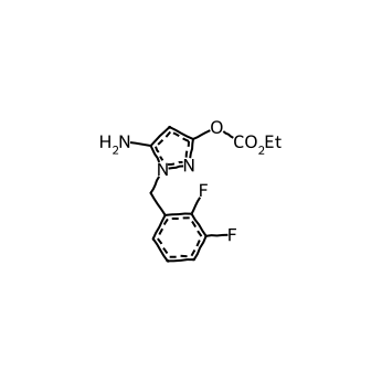 CCOC(=O)Oc1cc(N)n(Cc2cccc(F)c2F)n1